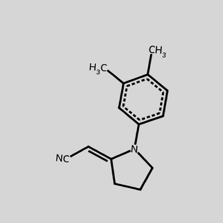 Cc1ccc(N2CCCC2=CC#N)cc1C